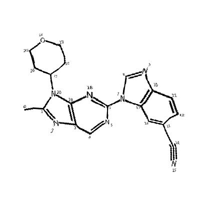 Cc1nc2cnc(-n3cnc4ccc(C#N)cc43)nc2n1C1CCOCC1